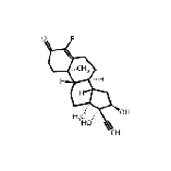 C#C[C@]1(O)[C@H](O)C[C@H]2[C@@H]3CCC4=C(F)C(=O)CC[C@]4(C)[C@H]3CC[C@@]21C